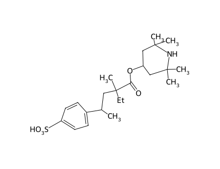 CCC(C)(CC(C)c1ccc(S(=O)(=O)O)cc1)C(=O)OC1CC(C)(C)NC(C)(C)C1